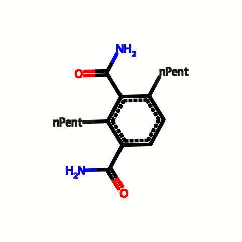 CCCCCc1ccc(C(N)=O)c(CCCCC)c1C(N)=O